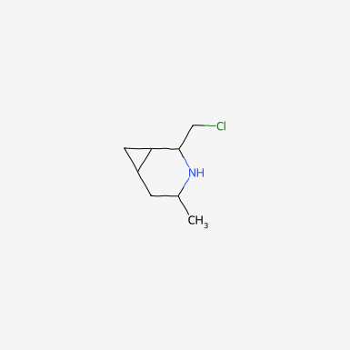 CC1CC2CC2C(CCl)N1